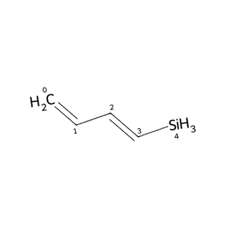 C=C/C=C/[SiH3]